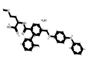 CSCCC(NC(=O)c1ccc(COc2ccc(Oc3ccccc3)cc2)cc1-c1ccccc1C)C(=O)O.[LiH]